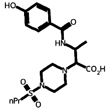 CCCS(=O)(=O)N1CCN(C(C(=O)O)C(C)NC(=O)c2ccc(O)cc2)CC1